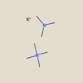 CN(C)C.C[N+](C)(C)C.[K+]